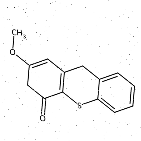 COC1=CC2=C(Sc3ccccc3C2)C(=O)C1